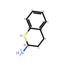 N[C@@H]1CCc2ccccc2S1